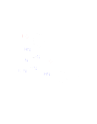 Nc1nc(Nc2ccccc2O)nc(C(=O)NC2CCc3ccccc3C2)n1